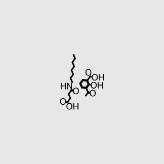 CC(=O)c1cccc(C(=O)O)c1O.CCCCCCCCNC(=O)CCC(=O)O